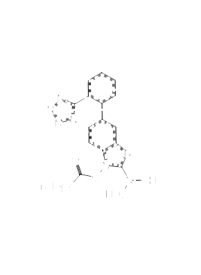 CCCCCCCC(=O)On1c(N(C)C)nc2cc(-c3ccccc3-c3nn[nH]n3)ccc21